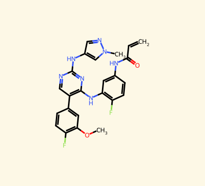 C=CC(=O)Nc1ccc(F)c(Nc2nc(Nc3cnn(C)c3)ncc2-c2ccc(F)c(OC)c2)c1